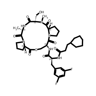 C[C@@H]1NC(=O)[C@H](CO)N(C)C(=O)[C@@H]2CCCN2C(=O)[C@@H](NC(=O)[C@H](Cc2cc(F)cc(F)c2)NC(=O)CCC2CCCCC2)COC(=O)[C@@H]2CCCN2C1=O